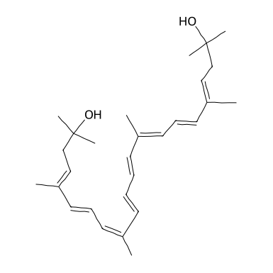 CC(C=CC=CC(C)=CC=CC(C)=CCC(C)(C)O)=CC=CC(C)=CCC(C)(C)O